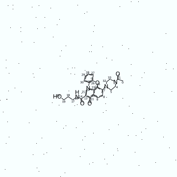 CC(=O)N1CCN(c2ccc3c(=O)c(C(=O)NCCCO)cn4c3c2Oc2ccccc2-4)CC1